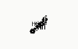 O=C(Nc1cc(F)c(N2CCSCC2)cc1O)OCc1ccccc1